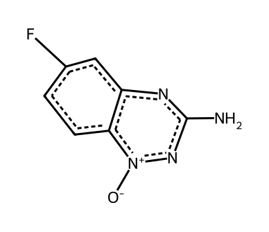 Nc1nc2cc(F)ccc2[n+]([O-])n1